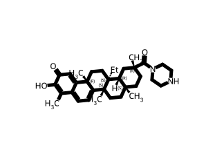 CC[C@@]12CC[C@@]3(C)C4=CC(=O)C(O)=C(C)C4=CC=C3[C@@]1(C)CC[C@@]1(C)CC[C@@](C)(C(=O)N3CCNCC3)C[C@H]12